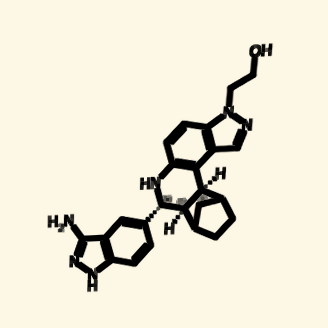 Nc1n[nH]c2ccc([C@@H]3Nc4ccc5c(cnn5CCO)c4[C@H]4C5CCC(C5)[C@@H]34)cc12